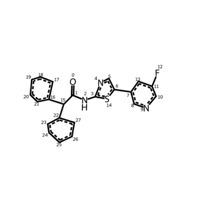 O=C(Nc1ncc(-c2cncc(F)c2)s1)C(c1ccccc1)c1ccccc1